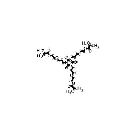 C=C(C)C(=O)OCCOCCCn1c(=O)n(CCCOCCOC(=O)C(=C)C)c(=O)n(CCCOCCOC(=O)C(=C)C)c1=O